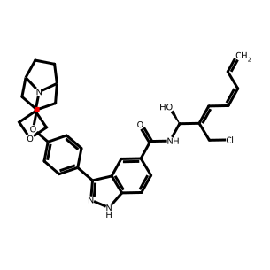 C=C/C=C\C=C(/CCl)[C@H](O)NC(=O)c1ccc2[nH]nc(-c3ccc(OC4CC5CCC(C4)N5C4COC4)cc3)c2c1